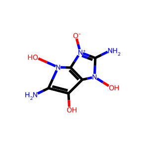 Nc1c(O)c2c(n1O)[n+]([O-])c(N)n2O